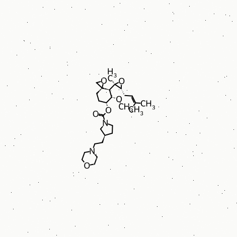 CO[C@@H]1[C@H](OC(=O)N2CC[C@@H](CCN3CCOCC3)C2)CC[C@]2(CO2)[C@H]1[C@@]1(C)O[C@@H]1CC=C(C)C